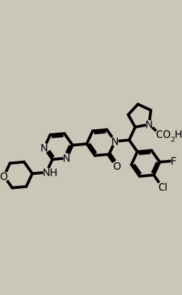 O=C(O)N1CCCC1C(c1ccc(Cl)c(F)c1)n1ccc(-c2ccnc(NC3CCOCC3)n2)cc1=O